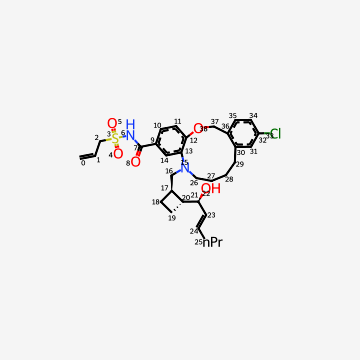 C=CCS(=O)(=O)NC(=O)c1ccc2c(c1)N(C[C@@H]1CC[C@H]1[C@@H](O)/C=C/CCC)CCCCc1cc(Cl)ccc1CO2